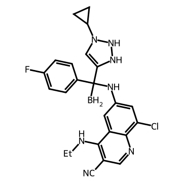 BC(Nc1cc(Cl)c2ncc(C#N)c(NCC)c2c1)(C1=CN(C2CC2)NN1)c1ccc(F)cc1